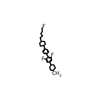 CC1CCC(c2cc(F)c(-c3ccc(C4CCC(CCCCCF)CC4)cc3)c(F)c2)CC1